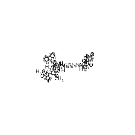 COc1cc(-c2cn(C)c(=O)c3cnccc23)cc(OC)c1CN1CC(NC(=O)OCC2c3ccccc3-c3ccccc32)(C(=O)NCCCCCCCCNc2cccc3c2C(=O)N(C2CCC(=O)NC2=O)C3=O)C1